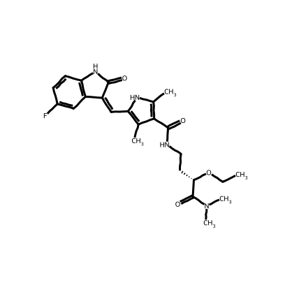 CCO[C@@H](CCNC(=O)c1c(C)[nH]c(/C=C2\C(=O)Nc3ccc(F)cc32)c1C)C(=O)N(C)C